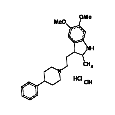 COc1cc2c(cc1OC)C(CCN1CCC(c3ccccc3)CC1)C(C)N2.Cl.Cl